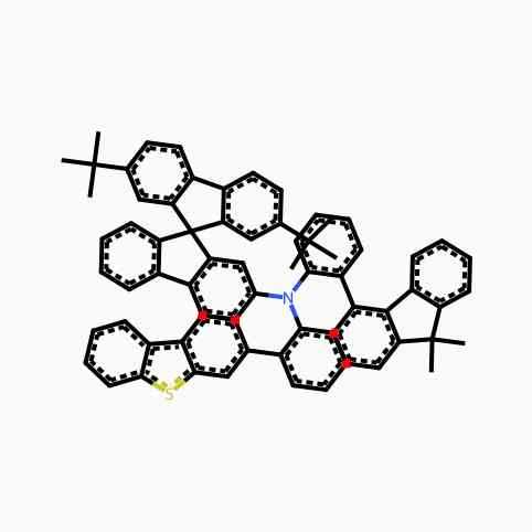 CC(C)(C)c1ccc2c(c1)C1(c3ccccc3-c3ccc(N(c4ccccc4-c4ccc5c(c4)sc4ccccc45)c4ccccc4-c4cccc5c4-c4ccccc4C5(C)C)cc31)c1cc(C(C)(C)C)ccc1-2